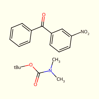 CN(C)C(=O)OC(C)(C)C.O=C(c1ccccc1)c1cccc([N+](=O)[O-])c1